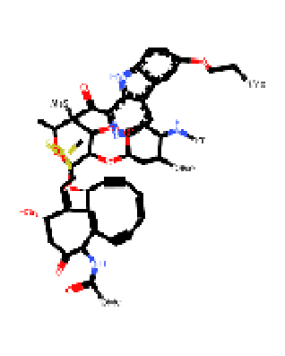 CNCCOc1ccc2[nH]c3c(C(=O)C4(SC)C(C)OC(O[C@H]5C#C/C=C\C#CC6=C5/C(=C\CS(C)=S)[C@@H](O)CC(=O)C6NC(=O)OC)C(OC5CC(OC)C(NC(C)C)CO5)C4O)nccc3c2c1